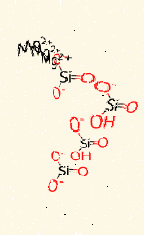 O=[Si]([O-])O.O=[Si]([O-])O.O=[Si]([O-])[O-].O=[Si]([O-])[O-].[Mg+2].[Mg+2].[Mg+2]